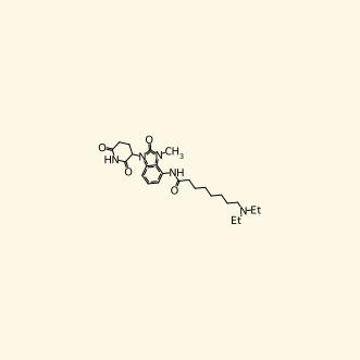 CCN(CC)CCCCCCCC(=O)Nc1cccc2c1n(C)c(=O)n2C1CCC(=O)NC1=O